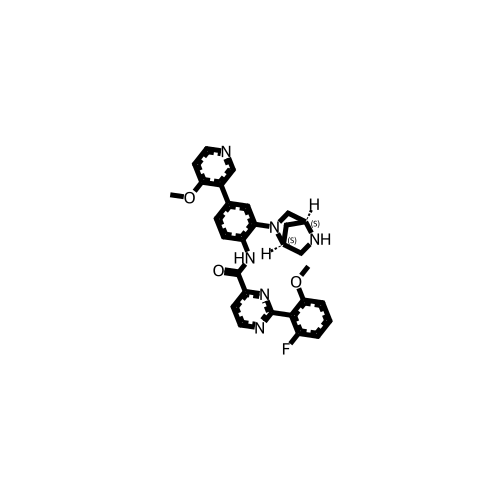 COc1ccncc1-c1ccc(NC(=O)c2ccnc(-c3c(F)cccc3OC)n2)c(N2C[C@@H]3C[C@H]2CN3)c1